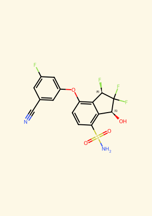 N#Cc1cc(F)cc(Oc2ccc(S(N)(=O)=O)c3c2[C@@H](F)C(F)(F)[C@H]3O)c1